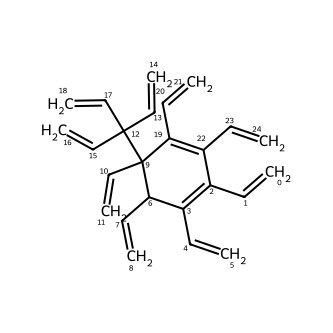 C=CC1=C(C=C)C(C=C)C(C=C)(C(C=C)(C=C)C=C)C(C=C)=C1C=C